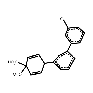 COC1(C(=O)O)C=CC(c2cccc(-c3cccc(Cl)c3)c2)C=C1